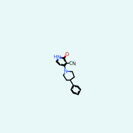 N#Cc1c(N2CCC(c3ccccc3)CC2)cc[nH]c1=O